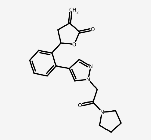 C=C1CC(c2ccccc2-c2cnn(CC(=O)N3CCCC3)c2)OC1=O